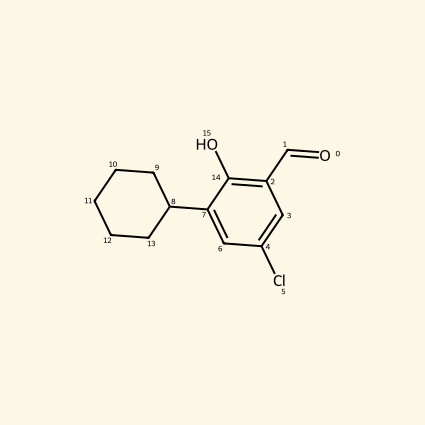 O=Cc1cc(Cl)cc(C2CCCCC2)c1O